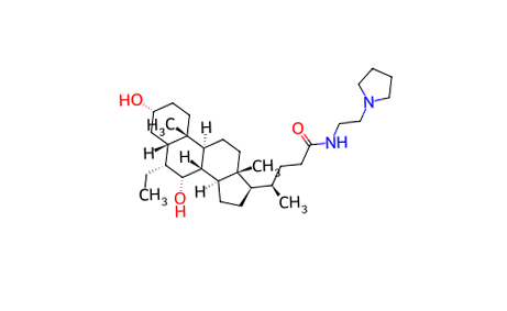 CC[C@H]1[C@@H](O)[C@@H]2[C@H](CC[C@]3(C)[C@@H]([C@H](C)CCC(=O)NCCN4CCCC4)CC[C@@H]23)[C@@]2(C)CC[C@@H](O)C[C@@H]12